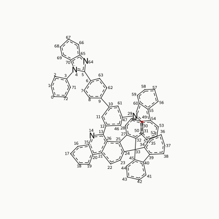 c1ccc(-n2c(-c3ccc(-c4cc(-c5nc6ccccc6c6ccc7c(c56)-c5ccccc5C75c6ccccc6-c6ccccc65)cc(-n5c6ccccc6c6ccccc65)c4)cc3)nc3ccccc32)cc1